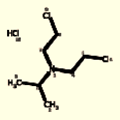 CC(C)N(CCCl)CCCl.Cl